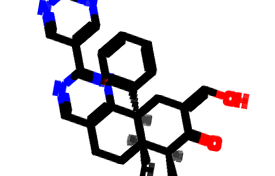 C[C@@H]1C(=O)C(=CO)C[C@]2(c3ccccc3)c3nc(-c4cncnc4)ncc3CC[C@@H]12